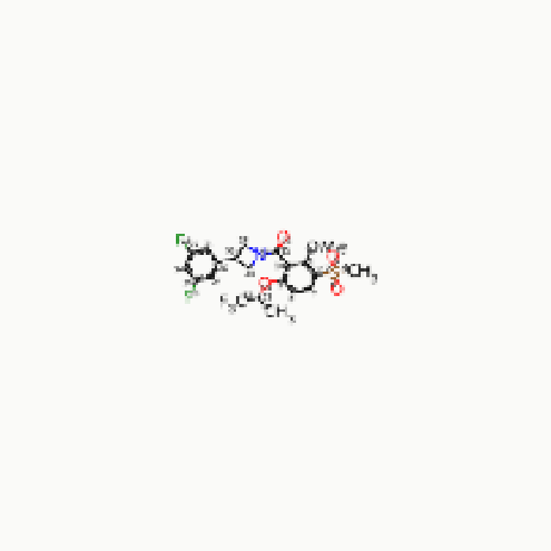 COc1c(S(C)(=O)=O)ccc(O[C@@H](C)C(F)(F)F)c1C(=O)N1CC(c2cc(F)cc(F)c2)C1